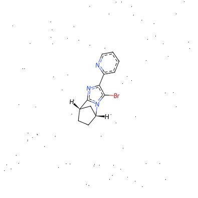 Brc1c(-c2ccccn2)nc2n1[C@@H]1CC[C@H]2C1